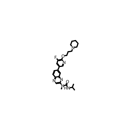 CC(C)NC(=O)N(C)c1cnc2ccc(-c3cnc(OCCCN4CCCCC4)c(F)c3)cc2n1